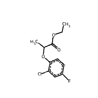 CCOC(=O)C(C)Oc1c[c]c(F)cc1Cl